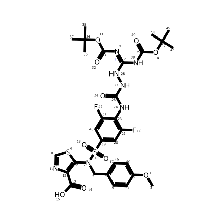 COc1ccc(CN(c2scnc2C(=O)O)S(=O)(=O)c2cc(F)c(NC(=O)NN/C(=N\C(=O)OC(C)(C)C)NC(=O)OC(C)(C)C)c(F)c2)cc1